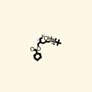 CC(C)(C)[Si](C)(C)OCC(O)C/C(=C\F)COC(=O)c1ccccc1